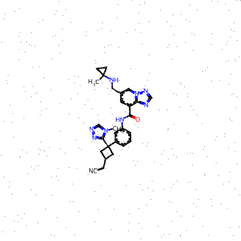 Cn1cnnc1C1(c2cccc(NC(=O)c3cc(CNC4(C)CC4)cn4ncnc34)c2)CC(CC#N)C1